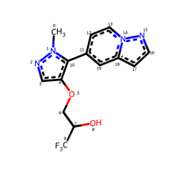 Cn1ncc(OCC(O)C(F)(F)F)c1-c1ccn2nccc2c1